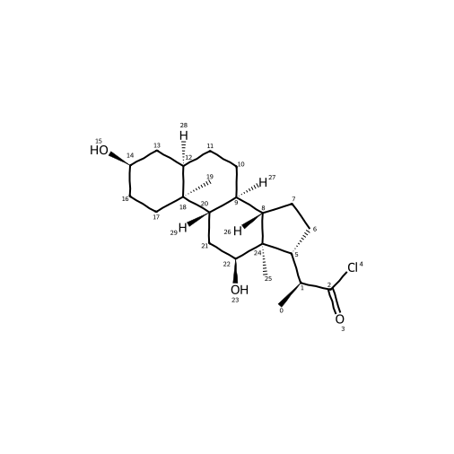 C[C@H](C(=O)Cl)[C@H]1CC[C@H]2[C@@H]3CC[C@@H]4C[C@H](O)CC[C@]4(C)[C@H]3C[C@H](O)[C@]12C